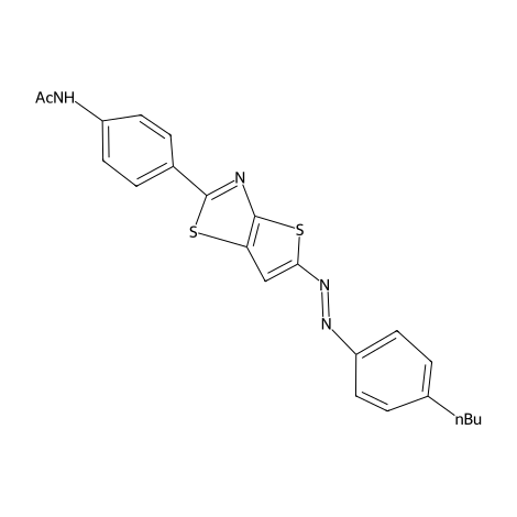 CCCCc1ccc(N=Nc2cc3sc(-c4ccc(NC(C)=O)cc4)nc3s2)cc1